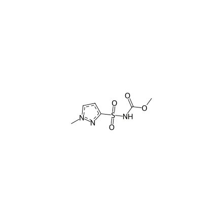 COC(=O)NS(=O)(=O)c1ccn(C)n1